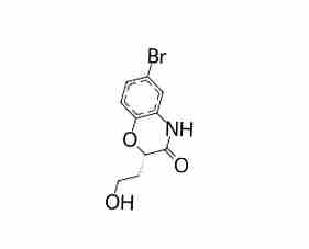 O=C1Nc2cc(Br)ccc2O[C@H]1CCO